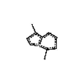 Cc1ccn2c(C)cccc12